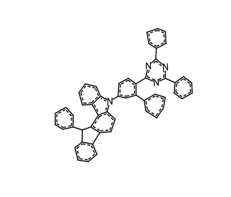 c1ccc(-c2nc(-c3ccccc3)nc(-c3ccc(-n4c5ccccc5c5c6c(ccc54)-c4ccccc4C6c4ccccc4)cc3-c3ccccc3)n2)cc1